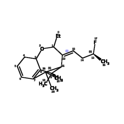 CCC1OC2CC=CC3=C2[C@@H](C)C(/C1=C\C[C@H](C)F)C3(C)C